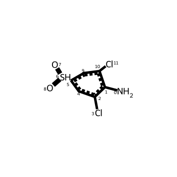 Nc1c(Cl)cc([SH](=O)=O)cc1Cl